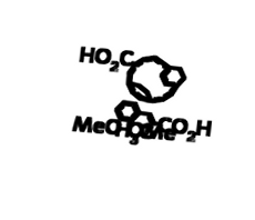 COc1cccc(C=C(C)C(=O)O)c1OC.O=C(O)c1ccc2ccc(ccc3ccc(c1)CC3)CC2